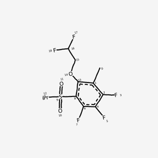 Cc1c(F)c(F)c(F)c(S(=O)(=O)C(C)C)c1OCC(F)F